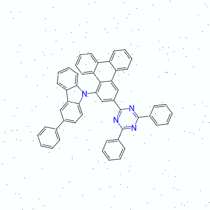 c1ccc(-c2ccc3c(c2)c2ccccc2n3-c2cc(-c3nc(-c4ccccc4)nc(-c4ccccc4)n3)cc3c4ccccc4c4ccccc4c23)cc1